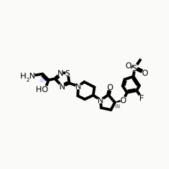 CS(=O)(=O)c1ccc(O[C@H]2CCN(C3CCN(c4nc(/C(O)=C/N)ns4)CC3)C2=O)c(F)c1